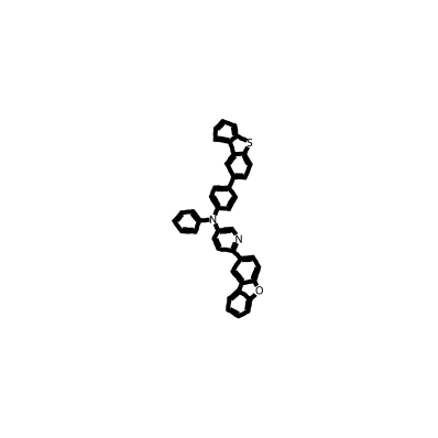 c1ccc(N(c2ccc(-c3ccc4sc5ccccc5c4c3)cc2)c2ccc(-c3ccc4oc5ccccc5c4c3)nc2)cc1